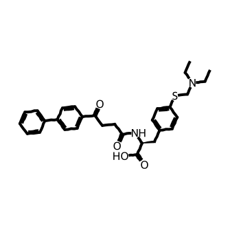 CCN(CC)CSc1ccc(C[C@H](NC(=O)CCC(=O)c2ccc(-c3ccccc3)cc2)C(=O)O)cc1